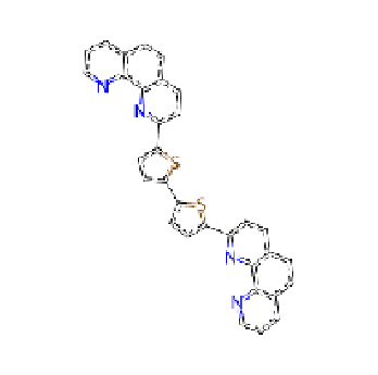 c1cnc2c(c1)ccc1ccc(-c3ccc(-c4ccc(-c5ccc6ccc7cccnc7c6n5)s4)s3)nc12